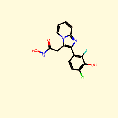 O=C(Cc1c(-c2ccc(Cl)c(O)c2F)nc2ccccn12)NO